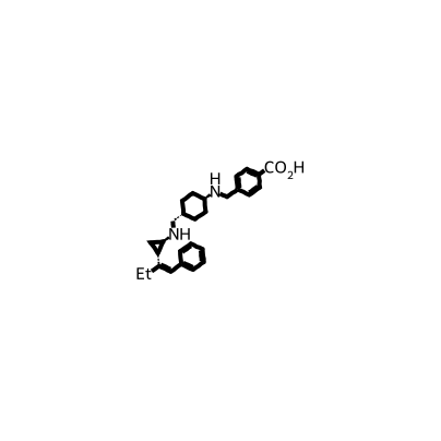 CCC(=Cc1ccccc1)[C@@H]1C[C@H]1NC[C@H]1CC[C@H](NCc2ccc(C(=O)O)cc2)CC1